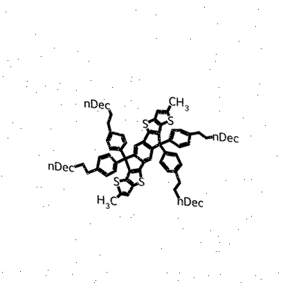 CCCCCCCCCCCCc1ccc(C2(c3ccc(CCCCCCCCCCCC)cc3)c3cc4c(cc3-c3sc5cc(C)sc5c32)C(c2ccc(CCCCCCCCCCCC)cc2)(c2ccc(CCCCCCCCCCCC)cc2)c2c-4sc3cc(C)sc23)cc1